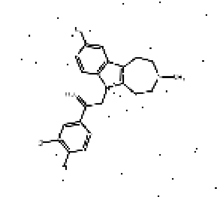 C=C(Cn1c2c(c3cc(Cl)ccc31)CCN(C)CC2)c1ccc(Cl)c(Cl)c1